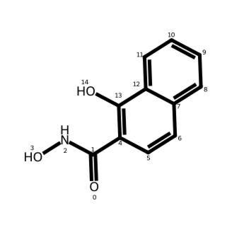 O=C(NO)c1ccc2ccccc2c1O